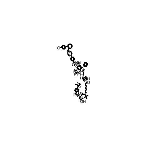 Cc1ncsc1-c1ccc([C@H](C)NC(=O)[C@@H]2C[C@@H](O)CN2C(=O)[C@@H](CCCCCCC(=O)N2C[C@@H]3C[C@H]2CN3CC[C@H](CSc2ccccc2)Nc2ccc(S(=O)(=O)NC(=O)c3ccc(N4CCN(CC5=C(c6ccc(Cl)cc6)CCCCC5)CC4)cc3)cc2S(=O)(=O)C(F)(F)F)C(C)(C)C)cc1